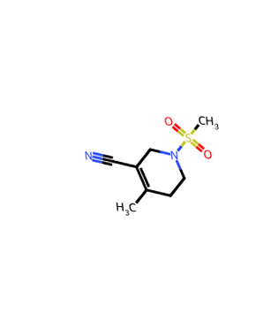 CC1=C(C#N)CN(S(C)(=O)=O)CC1